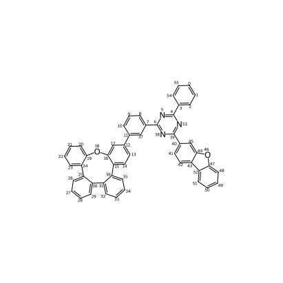 c1ccc(-c2nc(-c3cccc(-c4ccc5c(c4)oc4ccccc4c4ccccc4c4ccccc54)c3)nc(-c3ccc4c(c3)oc3ccccc34)n2)cc1